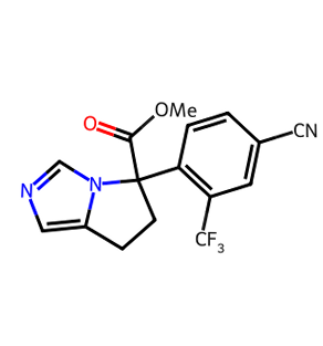 COC(=O)C1(c2ccc(C#N)cc2C(F)(F)F)CCc2cncn21